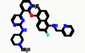 Cc1ccc2c(NCc3ccccn3)c(F)ccc2c1Oc1ncccc1-c1ccnc(NC2CCCN(C(=O)O)C2)n1